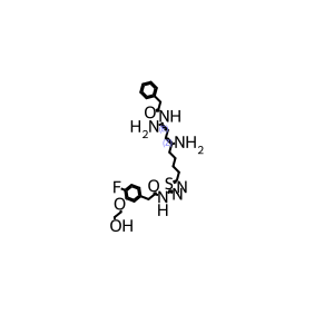 N/C(=C\C=C(/N)NC(=O)Cc1ccccc1)CCCCc1nnc(NC(=O)Cc2ccc(F)c(OCCO)c2)s1